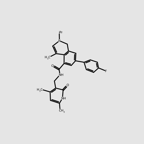 CC1=CN(C(C)C)Cc2cc(-c3ccc(F)cc3)cc(C(=O)NCc3c(C)cc(C)[nH]c3=O)c21